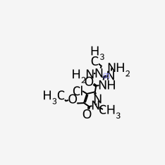 CCOCc1c(Cl)c(C(=O)N/C(=N/N)N(N)CC)nn(C)c1=O